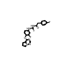 O=C(Cc1ccc(F)cc1)NC(=S)Nc1ccc(Oc2ncnn3cccc23)c(F)c1